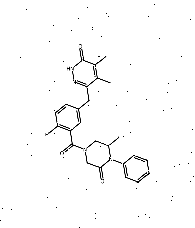 Cc1c(Cc2ccc(F)c(C(=O)N3CC(=O)N(c4ccccc4)C(C)C3)c2)n[nH]c(=O)c1C